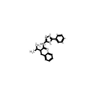 CC(C)C(Cc1ccccc1)C(=O)Nc1nnc(-c2ccccc2)s1